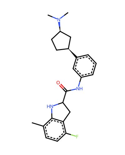 Cc1ccc(F)c2c1NC(C(=O)Nc1cccc([C@H]3CC[C@@H](N(C)C)C3)c1)C2